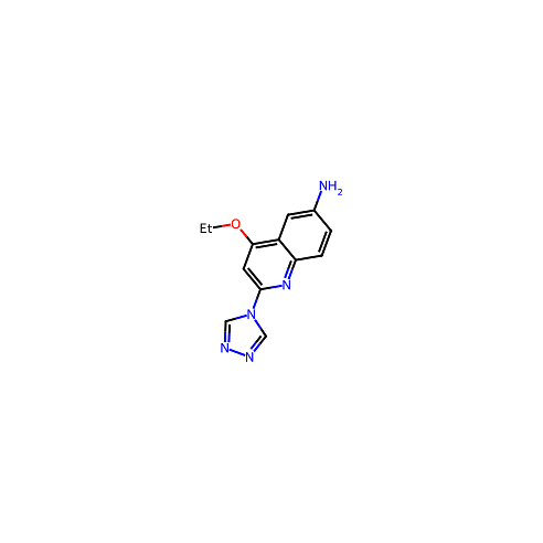 CCOc1cc(-n2cnnc2)nc2ccc(N)cc12